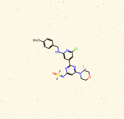 COc1ccc(CNc2cc(-c3nc(N=S(C)(C)=O)cc(N4CCOC[C@H]4C)n3)cc(Cl)n2)cc1